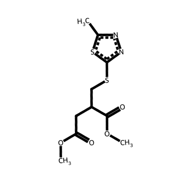 COC(=O)CC(CSc1nnc(C)s1)C(=O)OC